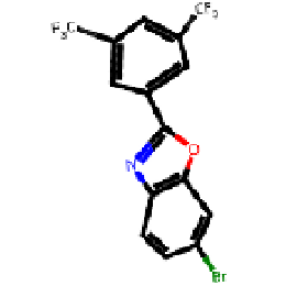 FC(F)(F)c1cc(-c2nc3ccc(Br)cc3o2)cc(C(F)(F)F)c1